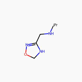 CC(C)NCC1=NOCN1